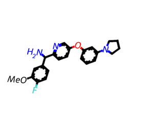 COc1cc(C(N)c2ccc(Oc3cccc(N4CCCC4)c3)cn2)ccc1F